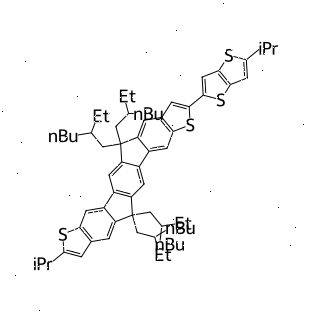 CCCCC(CC)CC1(CC(CC)CCCC)c2cc3c(cc2-c2cc4sc(-c5cc6sc(C(C)C)cc6s5)cc4cc21)C(CC(CC)CCCC)(CC(CC)CCCC)c1cc2cc(C(C)C)sc2cc1-3